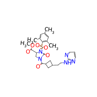 COC(=O)C1CN(C(=O)C2CC(CCNc3ncccn3)C2)C(=O)N1S(=O)(=O)c1c(C)cc(C)cc1C